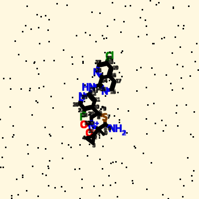 C[C@]1(C2CC2)C(N)S[C@](C)(c2cc(Nc3nccc4cc(Cl)cnc34)ncc2F)C[N+]1([O-])[O-]